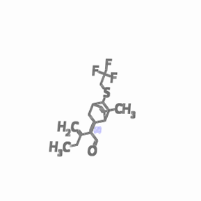 C=C(CC)/C(C=O)=C1\CC2C=C(C)C1CC2SCC(F)(F)F